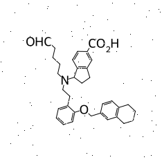 O=CCCCCN(CCc1ccccc1OCc1ccc2c(c1)CCCC2)C1CCc2cc(C(=O)O)ccc21